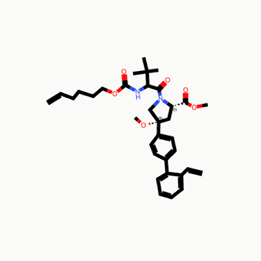 C=CCCCCOC(=O)NC(C(=O)N1C[C@](OC)(c2ccc(-c3ccccc3C=C)cc2)C[C@H]1C(=O)OC)C(C)(C)C